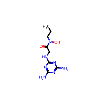 CCCN(O)C(=O)CNc1nc(N)nc(N)n1